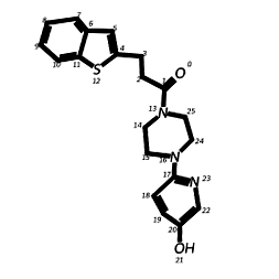 O=C(CCc1cc2ccccc2s1)N1CCN(c2ccc(O)cn2)CC1